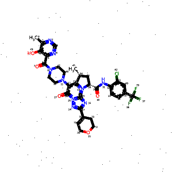 Cc1ncnc(C(=O)N2CCN(c3c4n(c5nc(C6=CCOCC6)nn5c3=O)[C@@H](C(=O)Nc3ccc(C(F)(F)F)cc3Cl)C[C@H]4C)CC2)c1O